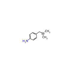 [CH3][Sb]([CH3])[CH2]c1ccc(N)cc1